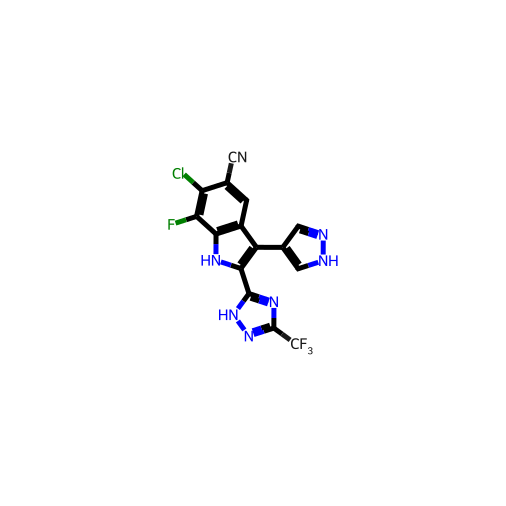 N#Cc1cc2c(-c3cn[nH]c3)c(-c3nc(C(F)(F)F)n[nH]3)[nH]c2c(F)c1Cl